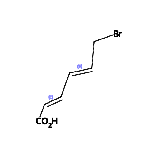 O=C(O)/C=C/C=C/CBr